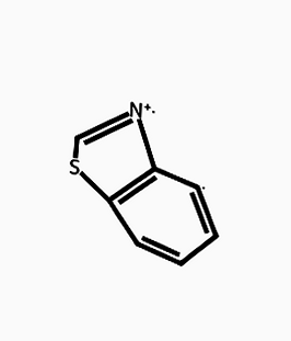 [c]1cccc2c1[N+]=CS2